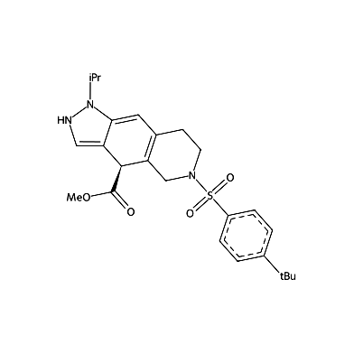 COC(=O)[C@H]1C2=CNN(C(C)C)C2=CC2=C1CN(S(=O)(=O)c1ccc(C(C)(C)C)cc1)CC2